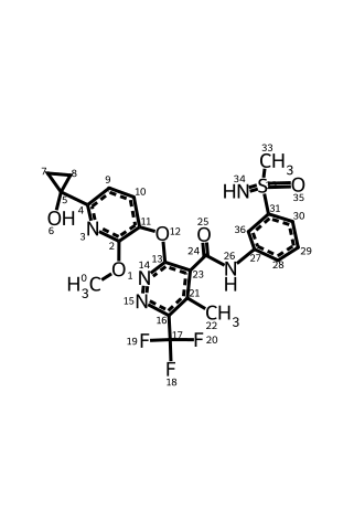 COc1nc(C2(O)CC2)ccc1Oc1nnc(C(F)(F)F)c(C)c1C(=O)Nc1cccc(S(C)(=N)=O)c1